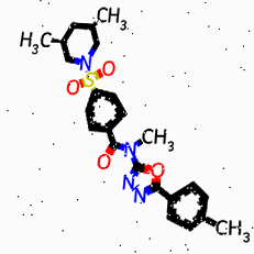 Cc1ccc(-c2nnc(N(C)C(=O)c3ccc(S(=O)(=O)N4C[C@H](C)C[C@H](C)C4)cc3)o2)cc1